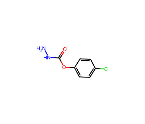 NNC(=O)Oc1ccc(Cl)cc1